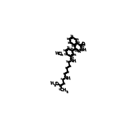 CC(C)CCNCCCCCNc1cccc(-c2n[nH]c(=O)c3ccccc23)c1.Cl